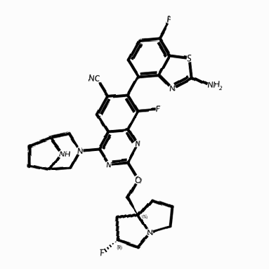 N#Cc1cc2c(N3CC4CCC(C3)N4)nc(OC[C@@]34CCCN3C[C@H](F)C4)nc2c(F)c1-c1ccc(F)c2sc(N)nc12